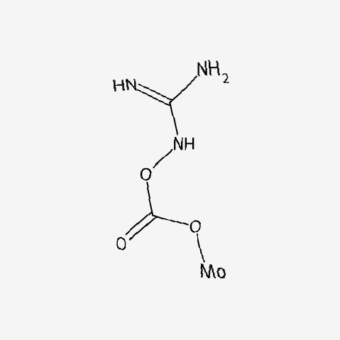 N=C(N)NOC(=O)[O][Mo]